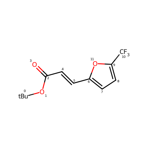 CC(C)(C)OC(=O)C=Cc1ccc(C(F)(F)F)o1